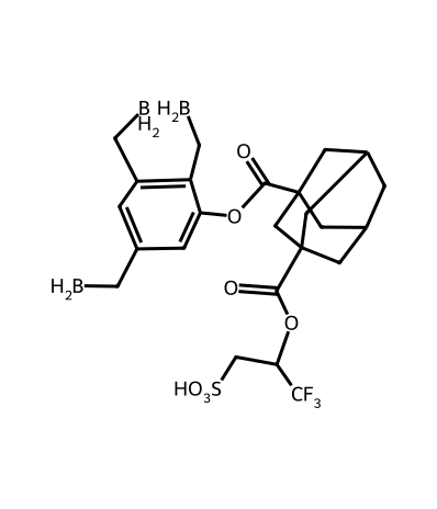 BCc1cc(CB)c(CB)c(OC(=O)C23CC4CC(C2)CC(C(=O)OC(CS(=O)(=O)O)C(F)(F)F)(C4)C3)c1